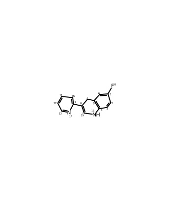 Fc1ccc2c(c1)CC(c1ccccn1)=[C]N2